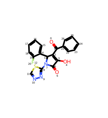 O=C(C1=C(O)C(=O)N(c2nncs2)C1c1ccccc1F)c1ccccc1